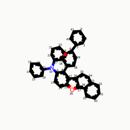 c1ccc(-c2ccc(-c3c(N(c4ccccc4)c4ccccc4)ccc4oc5c6ccccc6ccc5c34)cc2)cc1